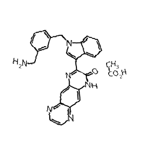 CC(=O)O.NCc1cccc(Cn2cc(-c3nc4cc5nccnc5cc4[nH]c3=O)c3ccccc32)c1